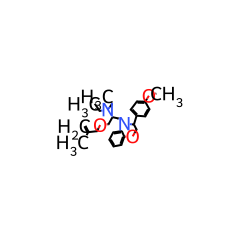 C=C(C)COCC(CN1c2ccccc2OCC1c1ccc(OC)cc1)N(CC)CC